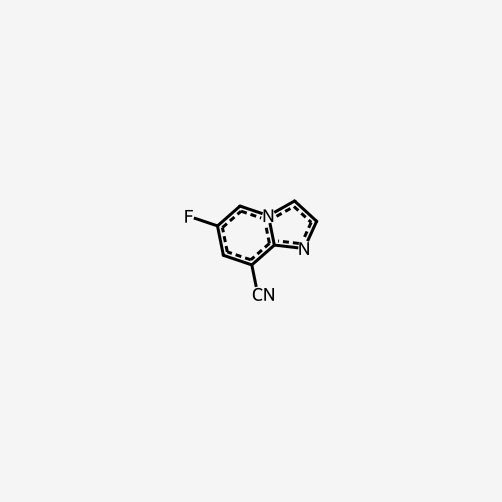 N#Cc1cc(F)cn2ccnc12